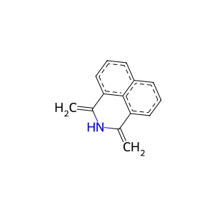 C=C1NC(=C)c2cccc3cccc1c23